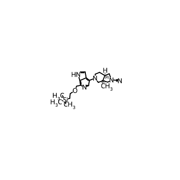 C[C@@]12CN(C#N)C[C@@H]1CCN(c1cnc(COCC[Si](C)(C)C)c3[nH]ccc13)C2